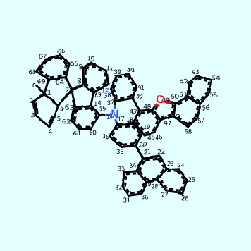 CC12C=CC=CC1C1(c3ccccc3-c3c(N(c4ccc(-c5cc6ccccc6c6ccccc56)cc4)c4ccccc4-c4cccc5c4oc4c6ccccc6ccc54)cccc31)c1ccccc12